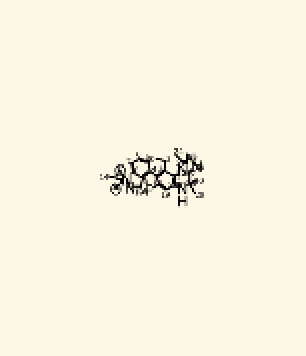 CCc1c(-c2cccc3c2cnn3S(C)(=O)=O)c(F)cc2c1-n1c(C)nnc1C(C)(C)N2